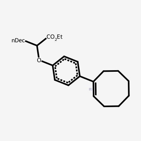 CCCCCCCCCCC(Oc1ccc(/C2=C/CCCCCC2)cc1)C(=O)OCC